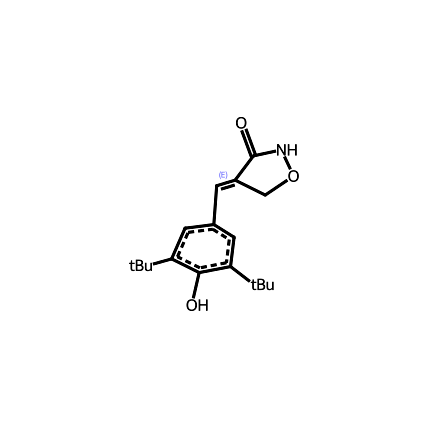 CC(C)(C)c1cc(/C=C2\CONC2=O)cc(C(C)(C)C)c1O